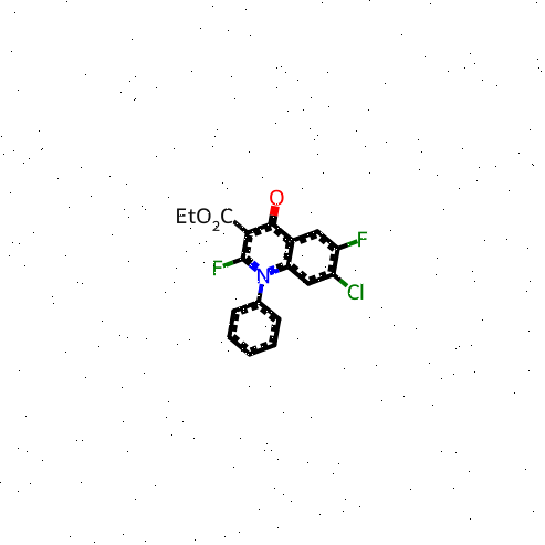 CCOC(=O)c1c(F)n(-c2ccccc2)c2cc(Cl)c(F)cc2c1=O